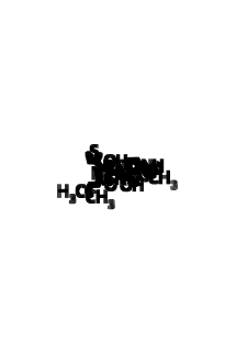 CC(C)CCn1nc(-c2ccsc2)c(O)c(C2=NP(=O)(O)c3cc(NS(C)(=O)=O)ccc3N2)c1=O